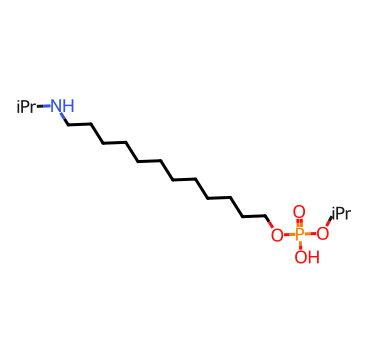 CC(C)NCCCCCCCCCCCCOP(=O)(O)OC(C)C